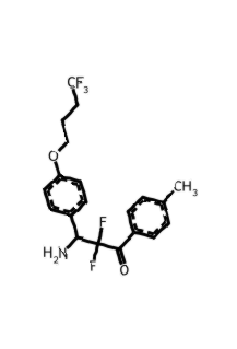 Cc1ccc(C(=O)C(F)(F)C(N)c2ccc(OCCCC(F)(F)F)cc2)cc1